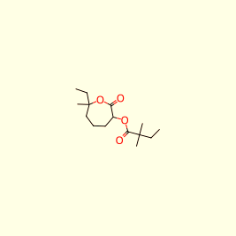 CCC1(C)CCCC(OC(=O)C(C)(C)CC)C(=O)O1